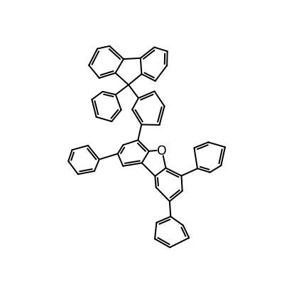 c1ccc(-c2cc(-c3ccccc3)c3oc4c(-c5cccc(C6(c7ccccc7)c7ccccc7-c7ccccc76)c5)cc(-c5ccccc5)cc4c3c2)cc1